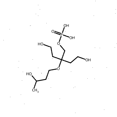 CC(O)CCOC(CCO)(CCO)COP(=O)(O)O